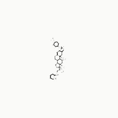 COc1ccc(-n2ncc3c2C=C2CCC4C([C@@H](O)CC5(C)C4CCC5(O)C(=O)CSc4ccccn4)C2(C)C3)cc1